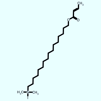 CC=CC(=O)OCCCCCCCCCCCCCCCC[Si](C)(C)I